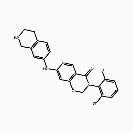 O=C1c2cnc(Nc3ccc4c(c3)CNCC4)cc2OCN1c1c(Cl)cccc1Cl